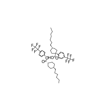 CCCCCCC[C@H]1CC[C@@](C(=O)O)(c2ccc(C(F)(F)C(F)(F)F)cc2)CC1.CCCCCC[C@H]1CC[C@H](C(=O)Oc2ccc(C(F)(F)C(F)(F)F)cc2)CC1